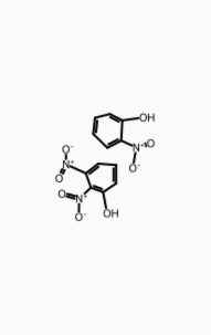 O=[N+]([O-])c1cccc(O)c1[N+](=O)[O-].O=[N+]([O-])c1ccccc1O